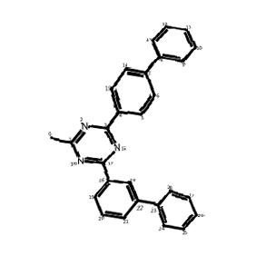 Cc1nc(-c2ccc(-c3ccccc3)cc2)nc(-c2cccc(-c3ccccc3)c2)n1